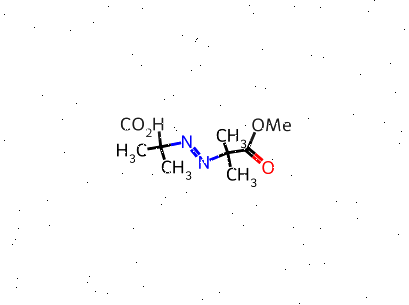 COC(=O)C(C)(C)/N=N/C(C)(C)C(=O)O